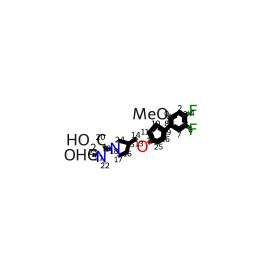 COc1cc(F)c(F)cc1-c1ccc(OCC2CCN(C(C(=O)O)N(C)C=O)C2)cc1